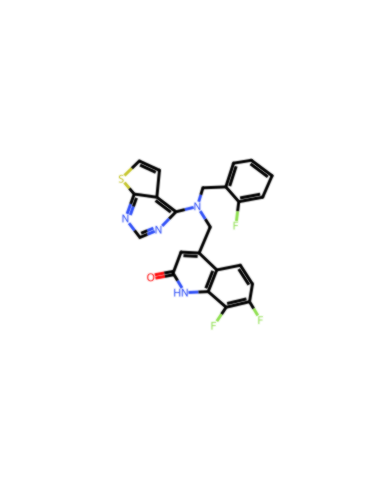 O=c1cc(CN(Cc2ccccc2F)c2ncnc3sccc23)c2ccc(F)c(F)c2[nH]1